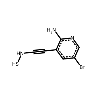 Nc1ncc(Br)cc1C#CNS